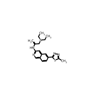 C=C(CN(CC)CC)Nc1cc2cc(-c3nnc(C)s3)ccc2cn1